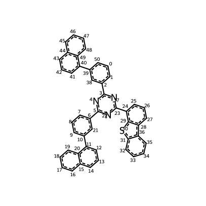 c1cc(-c2nc(-c3cccc(-c4cccc5ccccc45)c3)nc(-c3cccc4c3sc3ccccc34)n2)cc(-c2cccc3ccccc23)c1